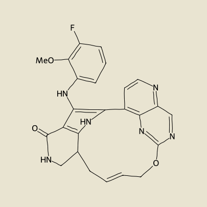 COc1c(F)cccc1Nc1c2[nH]c3c1C(=O)NCC3C/C=C/COc1ncc3nccc-2c3n1